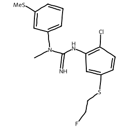 CSc1cccc(N(C)C(=N)Nc2cc(SCCF)ccc2Cl)c1